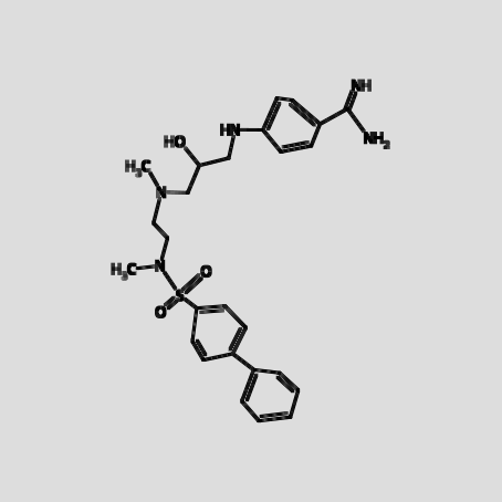 CN(CCN(C)S(=O)(=O)c1ccc(-c2ccccc2)cc1)CC(O)CNc1ccc(C(=N)N)cc1